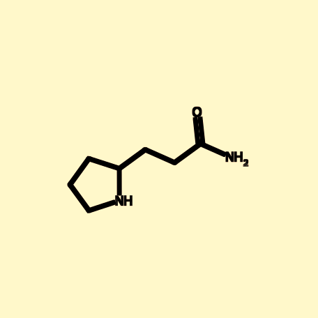 NC(=O)CCC1CCCN1